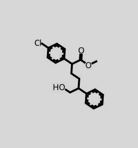 COC(=O)C(CCC(CO)c1ccccc1)c1ccc(Cl)cc1